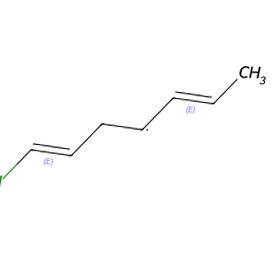 C/C=C/[CH]C/C=C/Cl